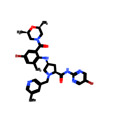 CNc1cncc(CN2C[C@H](Nc3c(C(=O)N4C[C@@H](C)O[C@@H](C)C4)cc(Br)cc3[N+](=O)[O-])C[C@H]2C(=O)Nc2ncc(Br)cn2)c1